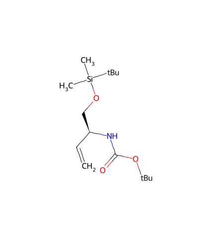 C=C[C@@H](CO[Si](C)(C)C(C)(C)C)NC(=O)OC(C)(C)C